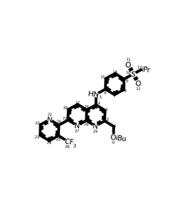 CC(C)COCc1cc(Nc2ccc(S(=O)(=O)C(C)C)cc2)c2ccc(-c3ncccc3C(F)(F)F)nc2n1